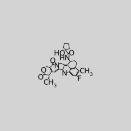 CC[C@H]1C(=O)OCc2c1cc1n(c2=O)Cc2c-1nc1cc(F)c(C)c3c1c2[C@@H](NC(=O)C1(O)CCCC1)CC3